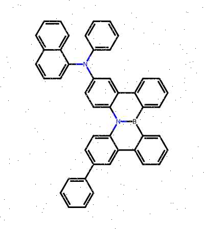 c1ccc(-c2ccc3c(c2)-c2ccccc2B2c4ccccc4-c4cc(N(c5ccccc5)c5cccc6ccccc56)ccc4N23)cc1